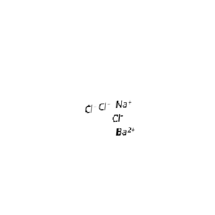 [Ba+2].[Cl-].[Cl-].[Cl-].[Na+]